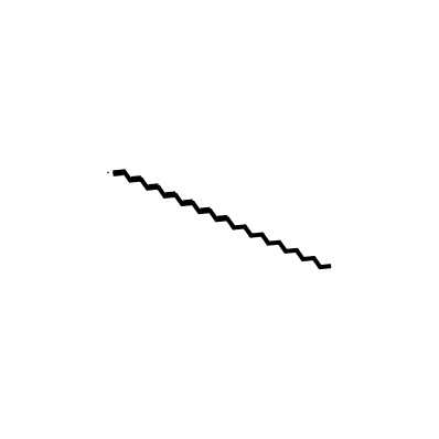 [CH]=CC=CC=CC=CC=CC=CC=CCCCCCCCCCCCC